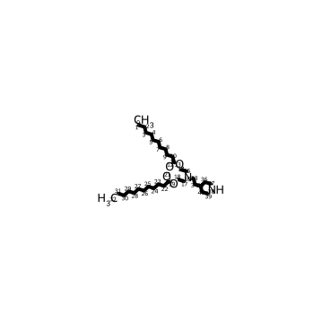 CCCCCCCCCCCC(=O)OCCN(CCOC(=O)CCCCCCCCCCC)CCC1CCNCC1